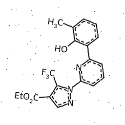 CCOC(=O)c1cnn(-c2cccc(-c3cccc(C)c3O)n2)c1C(F)(F)F